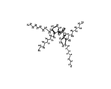 CCCCCCCCCc1cccc(O[PH](=O)Oc2cccc(CCCCCCCCC)c2CCCCCCCCC)c1CCCCCCCCC